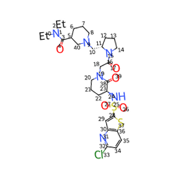 CCN(CC)C(=O)C1CCCN(C[C@@H]2CCCN2C(=O)CN2CCC[C@H](NS(=O)(=O)c3cc4nc(Cl)ccc4s3)C2=O)C1